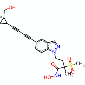 CC(CCn1ncc2cc(C#CC#CC3C[C@@H]3CO)ccc21)(C(=O)NO)S(C)(=O)=O